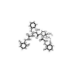 CC1(C)SCN(C(=O)[C@@H](O)[C@H](Cc2ccccc2)NC(=O)NCc2c(F)cccc2F)[C@@H]1C(=O)NCc1c(F)cccc1F